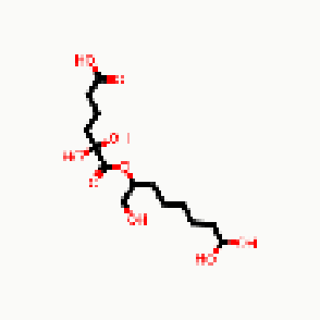 O=C(O)CCCC(O)(O)C(=O)OC(CO)CCCCCC(O)O